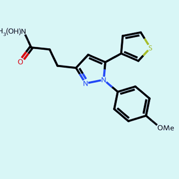 COc1ccc(-n2nc(CCC(=O)N(C)O)cc2-c2ccsc2)cc1